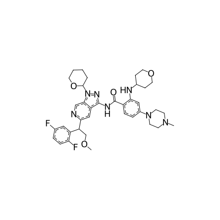 COCC(c1cc2c(NC(=O)c3ccc(N4CCN(C)CC4)cc3NC3CCOCC3)nn(C3CCCCO3)c2cn1)c1cc(F)ccc1F